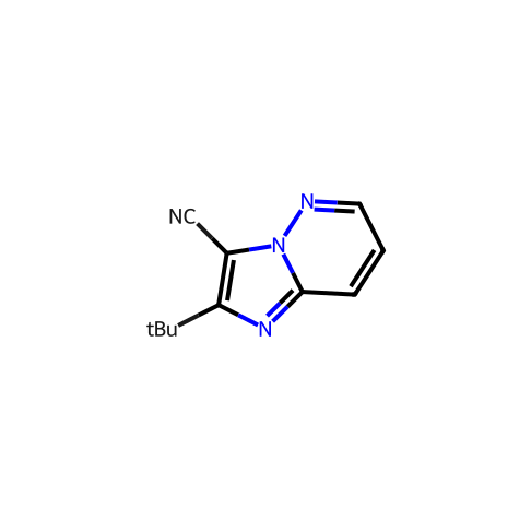 CC(C)(C)c1nc2cccnn2c1C#N